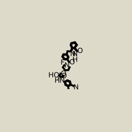 Cc1cc(NC(=O)[C@@](C)(O)COC2CCN(C(=O)c3cc(Cc4n[nH]c(=O)c5ccccc45)ccc3F)CC2)ccc1C#N